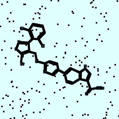 COC(=O)c1c[nH]c2cc(-c3ccc(OCc4c(-c5c(Cl)cccc5Cl)noc4C(C)C)nc3)ccc12